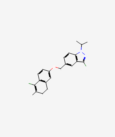 CC(C)n1nc(Cl)c2cc(COc3ccc4c(c3)CC[C]([K])=C4Cl)ccc21